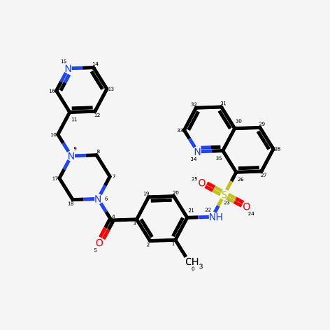 Cc1cc(C(=O)N2CCN(Cc3cccnc3)CC2)ccc1NS(=O)(=O)c1cccc2cccnc12